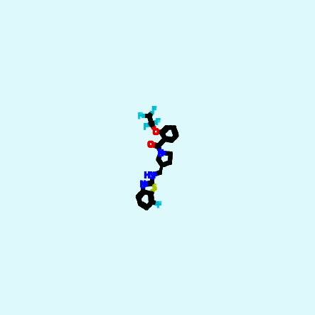 O=C(c1ccccc1OC(F)(F)C(F)F)N1CC[C@@H](CNc2nc3cccc(F)c3s2)C1